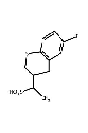 CC(C1CSc2ccc(F)cc2C1)S(=O)(=O)O